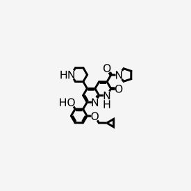 O=C(c1cc2c(C3CCCNC3)cc(-c3c(O)cccc3OCC3CC3)nc2[nH]c1=O)N1CCCC1